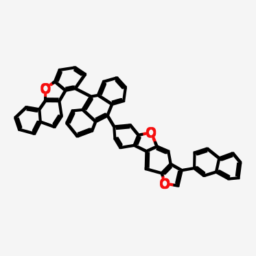 c1ccc2cc(-c3coc4cc5c(cc34)oc3cc(-c4c6ccccc6c(-c6cccc7oc8c9ccccc9ccc8c67)c6ccccc46)ccc35)ccc2c1